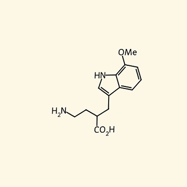 COc1cccc2c(CC(CCN)C(=O)O)c[nH]c12